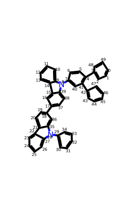 c1ccc(-c2ccc(-n3c4ccccc4c4cc(-c5ccc6c7ccccc7n(-c7ccccc7)c6c5)ccc43)cc2-c2ccccc2)cc1